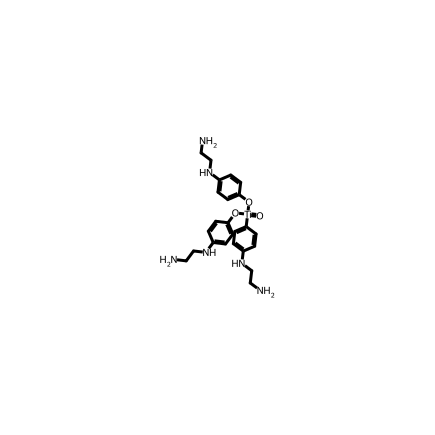 NCCNc1ccc([O][Ti](=[O])([O]c2ccc(NCCN)cc2)[c]2ccc(NCCN)cc2)cc1